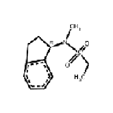 CCS(=O)(=O)N(C)[C@@H]1CCc2ccccc21